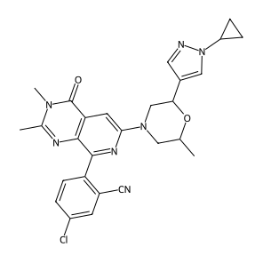 Cc1nc2c(-c3ccc(Cl)cc3C#N)nc(N3CC(C)OC(c4cnn(C5CC5)c4)C3)cc2c(=O)n1C